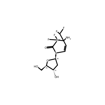 NC1(C(F)F)C=CN([C@H]2C[C@H](O)[C@@H](CO)O2)C(=O)[N+]1(F)F